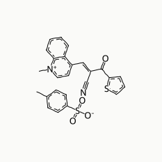 C[n+]1ccc(/C=C(\C#N)C(=O)c2cccs2)c2ccccc21.Cc1ccc(S(=O)(=O)[O-])cc1